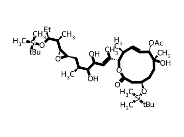 CC[C@H](O[Si](C)(C)C(C)(C)C)[C@@H](C)[C@H]1O[C@@H]1C[C@H](C)C(O)C(O)/C=C(\C)[C@H]1OC(=O)C[C@H](O[Si](C)(C)C(C)(C)C)CC[C@@](C)(O)[C@@H](OC(C)=O)/C=C/[C@@H]1C